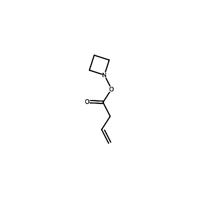 C=CCC(=O)ON1CCC1